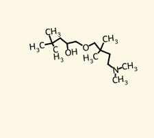 CN(C)CCC(C)(C)COCC(O)CC(C)(C)C